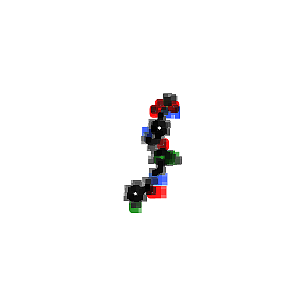 CCS(=O)(=O)NC(=O)c1ccc2c(Oc3ccc(CCNC[C@H](O)c4cccc(Cl)c4)cc3)ccnc2c1.Cl.Cl